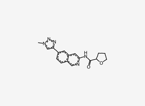 Cn1cc(-c2ccc3cnc(NC(=O)C4CCCO4)cc3c2)nn1